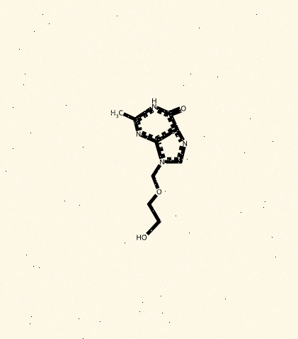 Cc1nc2c(ncn2COCCO)c(=O)[nH]1